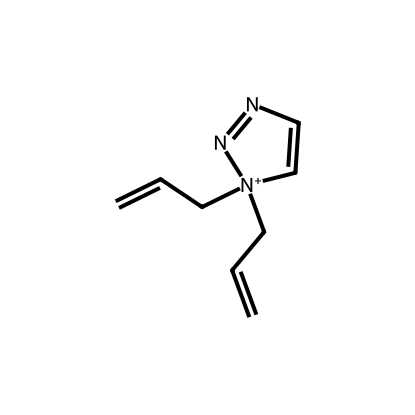 C=CC[N+]1(CC=C)C=CN=N1